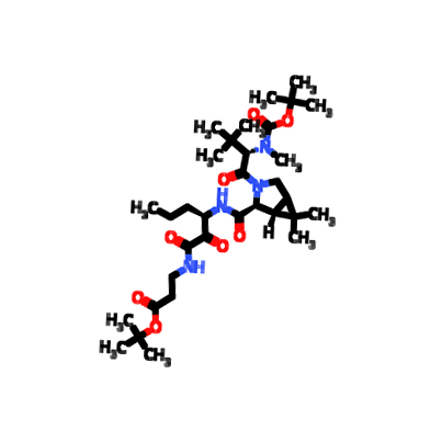 CCC[C@@H](NC(=O)[C@@H]1[C@@H]2C(CN1C(=O)[C@@H](N(C)C(=O)OC(C)(C)C)C(C)(C)C)C2(C)C)C(=O)C(=O)NCCC(=O)OC(C)(C)C